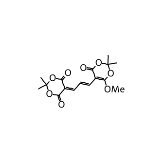 COC1=C(/C=C/C=C2C(=O)OC(C)(C)OC2=O)C(=O)OC(C)(C)O1